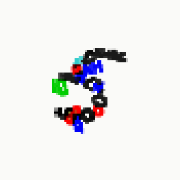 CCCCN(C(=O)Nc1cc(NC(C)=O)ccc1F)C1CCN(Cc2ccc(Oc3ccc(NS(C)(=O)=O)cc3)cc2)CC1.Cl